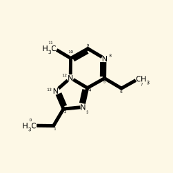 CCc1nc2c(CC)ncc(C)n2n1